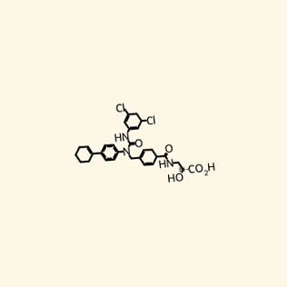 O=C(NC[C@@H](O)C(=O)O)C1C=CC(CN(C(=O)NC2=CC(Cl)CC(Cl)=C2)c2ccc(C3=CCCCC3)cc2)=CC1